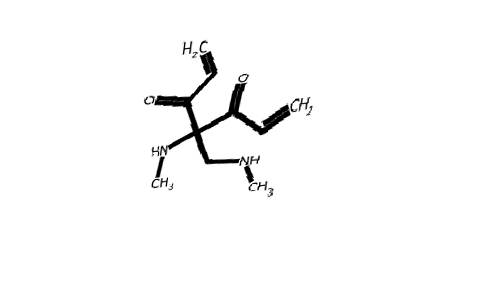 C=CC(=O)C(CNC)(NC)C(=O)C=C